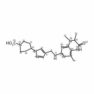 Cc1nc(NCc2cnn(C3CCN(C(=O)O)CC3)c2)nc2c1NC(=O)C(C)N2C